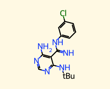 CC(C)(C)Nc1ncnc(N)c1C(=N)Nc1cccc(Cl)c1